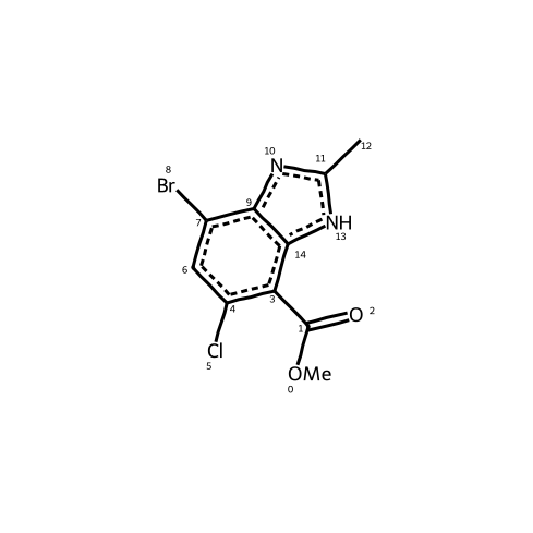 COC(=O)c1c(Cl)cc(Br)c2nc(C)[nH]c12